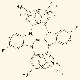 Cc1cccc(N2/C(=C3/N(c4cc(C)cc(C)c4)c4ccc(F)cc4N3c3cc(C)cc(C)c3)N(c3cc(C)cc(C)c3)c3cc(F)ccc32)c1